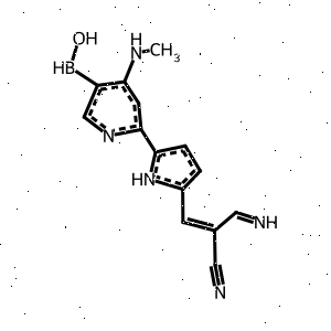 CNc1cc(-c2ccc(/C=C(/C#N)C=N)[nH]2)ncc1BO